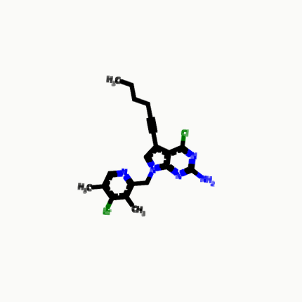 CCCCC#Cc1cn(Cc2ncc(C)c(Br)c2C)c2nc(N)nc(Cl)c12